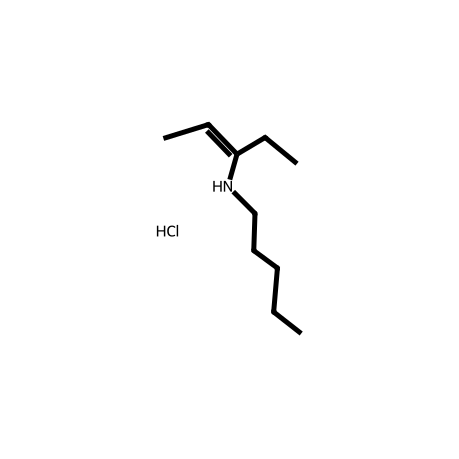 CC=C(CC)NCCCCC.Cl